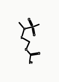 CC(C)C(=O)OCSN(C)S(C)(=O)=O